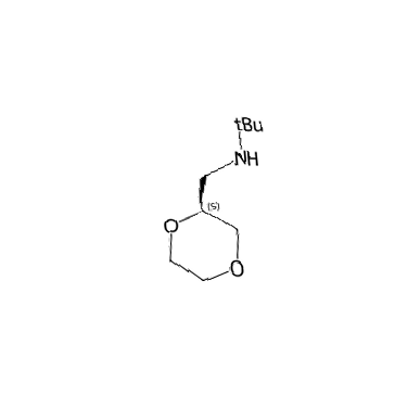 CC(C)(C)NC[C@H]1COCCO1